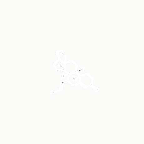 C[C@]12CC[C@H]3[C@@H]([C@H](/C=C/Cl)CC4=CC(=O)CC[C@@H]43)[C@@H]1CC[C@@H]2O